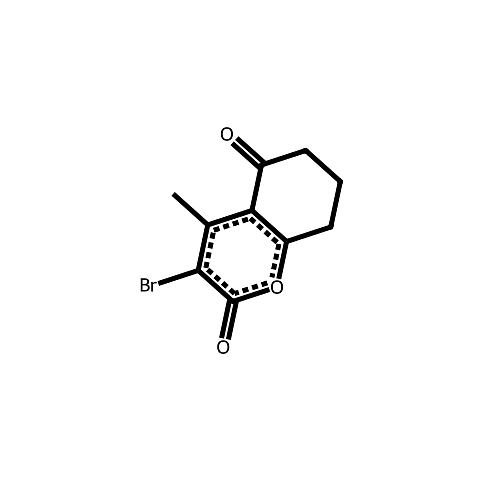 Cc1c2c(oc(=O)c1Br)CCCC2=O